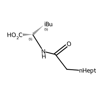 CCCCCCCCC(=O)N[C@H](C(=O)O)[C@@H](C)CC